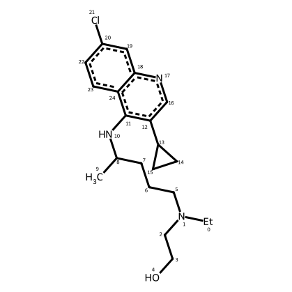 CCN(CCO)CCCC(C)Nc1c(C2CC2)cnc2cc(Cl)ccc12